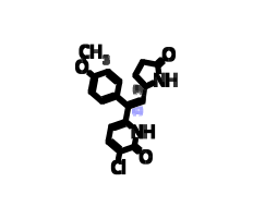 COc1ccc(/C(=C\[C@H]2CCC(=O)N2)c2ccc(Cl)c(=O)[nH]2)cc1